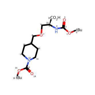 CC(C)(C)OC(=O)N[C@@H](COCC1CCN(C(=O)OC(C)(C)C)CC1)C(=O)O